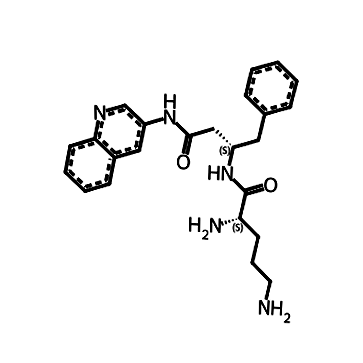 NCCC[C@H](N)C(=O)N[C@H](CC(=O)Nc1cnc2ccccc2c1)Cc1ccccc1